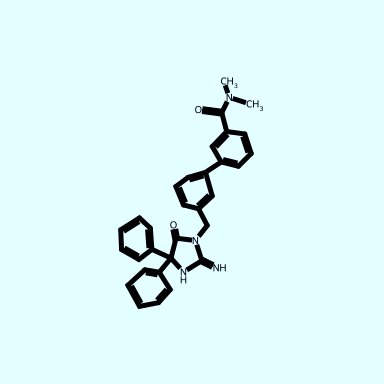 CN(C)C(=O)c1cccc(-c2cccc(CN3C(=N)NC(c4ccccc4)(c4ccccc4)C3=O)c2)c1